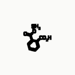 O=C(O)c1ccccc1C(=O)O[SiH3]